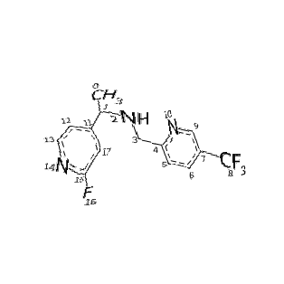 CC(NCc1ccc(C(F)(F)F)cn1)c1ccnc(F)c1